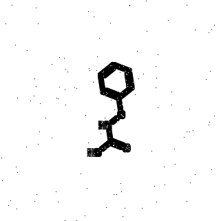 O=C(O)NOc1ccccc1